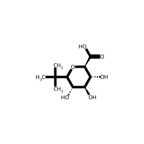 CC(C)(C)C1O[C@@H](C(=O)O)[C@H](O)[C@@H](O)[C@@H]1O